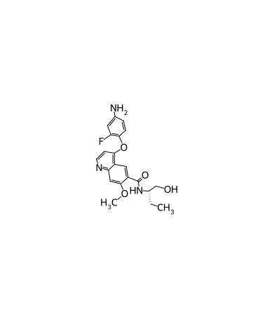 CC[C@@H](CO)NC(=O)c1cc2c(Oc3ccc(N)cc3F)ccnc2cc1OC